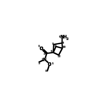 CON(C)C(=O)C12CC(N)C(C1)C2